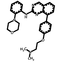 CN(C)CCOc1ccc(-c2cccc3cnc(Nc4ccccc4N4CCOCC4)nc23)cc1